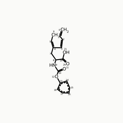 C=C/C=C\C(=C/C)CC(NC(=O)Oc1ccccc1)C(=O)O